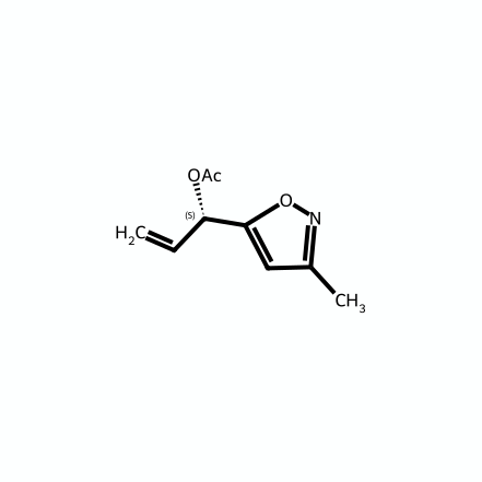 C=C[C@H](OC(C)=O)c1cc(C)no1